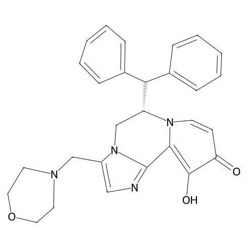 O=c1ccn2c(c1O)-c1ncc(CN3CCOCC3)n1C[C@@H]2C(c1ccccc1)c1ccccc1